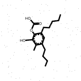 CCCCCc1cc(CCCC)c(C)c(O)c1OC(=O)O